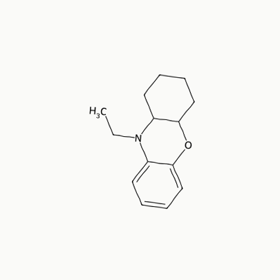 CCN1c2ccccc2OC2CCCCC21